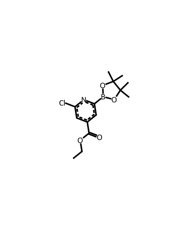 CCOC(=O)c1cc(Cl)nc(B2OC(C)(C)C(C)(C)O2)c1